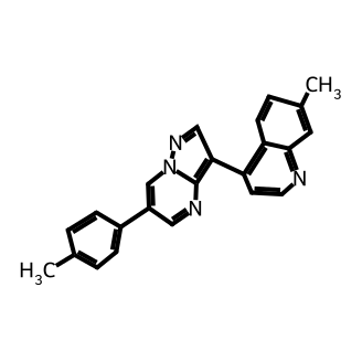 Cc1ccc(-c2cnc3c(-c4ccnc5cc(C)ccc45)cnn3c2)cc1